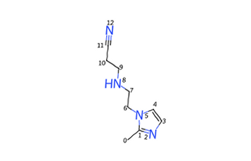 Cc1nccn1CCNCCC#N